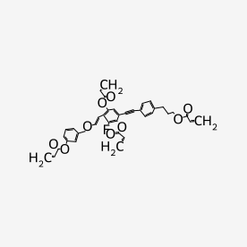 C=CC(=O)OCCCc1ccc(C#Cc2cc(OC(=O)C=C)c(/C=C/OCc3cccc(OC(=O)C=C)c3)c(F)c2OC(=O)C=C)cc1